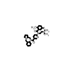 Cc1ccc(F)cc1C(=O)N(CCN(C)C)c1ccc(C(=O)N2Cc3cccn3Cc3ccccc32)cn1